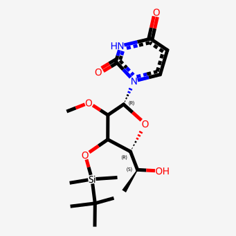 COC1C(O[Si](C)(C)C(C)(C)C)[C@@H]([C@H](C)O)O[C@H]1n1ccc(=O)[nH]c1=O